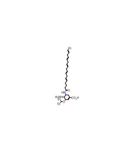 CCC=CCC=CCC=CCC=CCC=CCCCC(=O)NC1CC(C(=O)O)=CC(OC(CC)CC)C1NC(C)=O